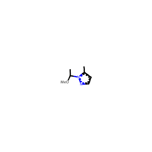 COC(C)n1nccc1C